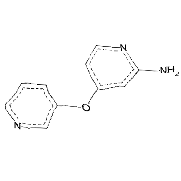 Nc1cc(Oc2cccnc2)ccn1